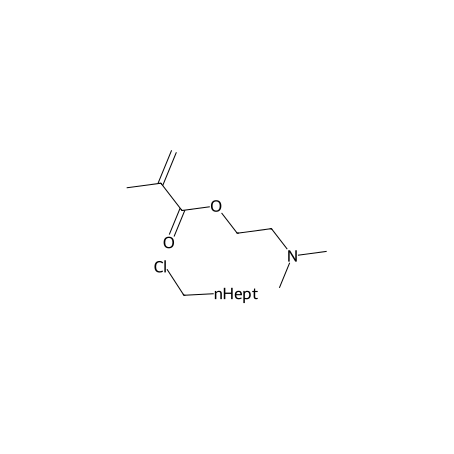 C=C(C)C(=O)OCCN(C)C.CCCCCCCCCl